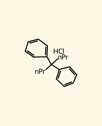 CCCC(CCC)(c1ccccc1)c1ccccc1.Cl